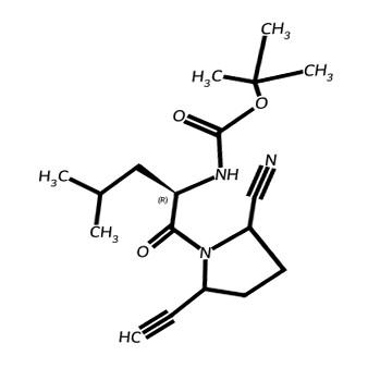 C#CC1CCC(C#N)N1C(=O)[C@@H](CC(C)C)NC(=O)OC(C)(C)C